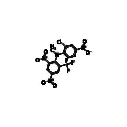 CN(c1ccc([N+](=O)[O-])cc1Cl)c1c([N+](=O)[O-])cc([N+](=O)[O-])cc1C(F)(F)F